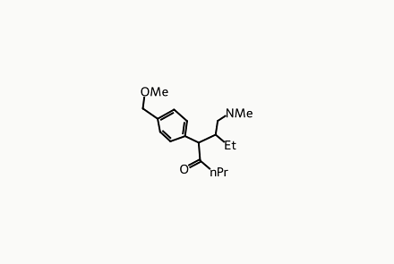 CCCC(=O)C(c1ccc(COC)cc1)C(CC)CNC